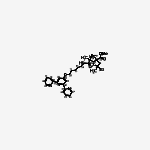 CCC(C)(C)CC(C)(CC(C)(Br)C(=O)NCCCCCOc1cc(-c2ccccn2)nc(-c2ccccn2)c1)C(=O)OC